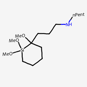 CCCCCNCCCC1(OC)CCCC[Si]1(OC)OC